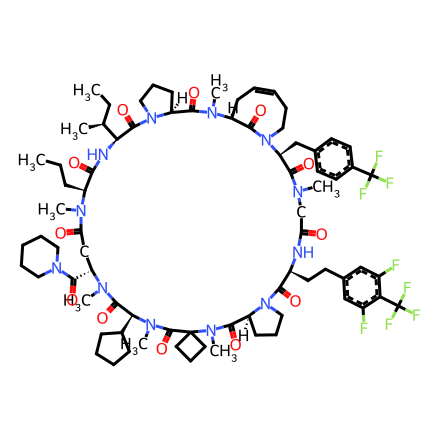 CCC[C@H]1C(=O)N[C@@H]([C@@H](C)CC)C(=O)N2CCC[C@H]2C(=O)N(C)[C@H]2C/C=C\CCN(C2=O)[C@@H](Cc2ccc(C(F)(F)F)cc2)C(=O)N(C)CC(=O)N[C@@H](CCc2cc(F)c(C(F)(F)F)c(F)c2)C(=O)N2CCC[C@H]2C(=O)N(C)C2(CCC2)C(=O)N(C)[C@@H](C2CCCC2)C(=O)N(C)[C@H](C(=O)N2CCCCC2)CC(=O)N1C